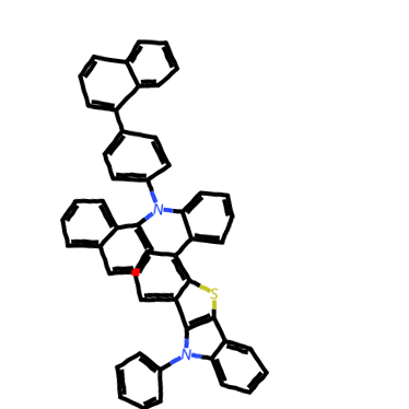 c1ccc(-n2c3ccccc3c3sc4c(-c5ccccc5N(c5ccc(-c6cccc7ccccc67)cc5)c5cccc6ccccc56)cccc4c32)cc1